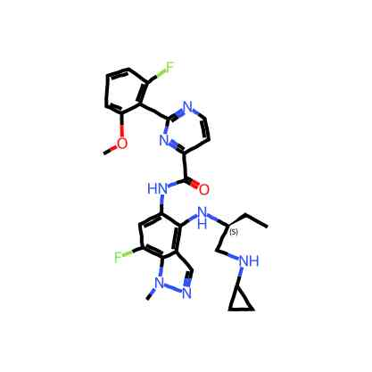 CC[C@@H](CNC1CC1)Nc1c(NC(=O)c2ccnc(-c3c(F)cccc3OC)n2)cc(F)c2c1cnn2C